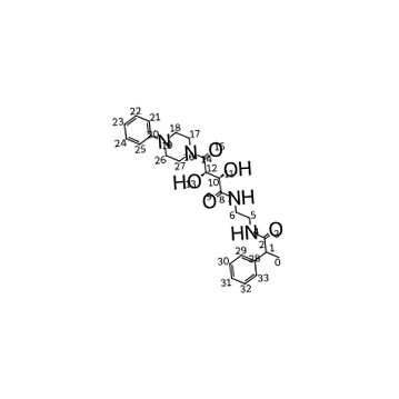 CC(C(=O)NCCNC(=O)[C@H](O)[C@@H](O)C(=O)N1CCN(c2ccccc2)CC1)c1ccccc1